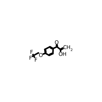 C=C(O)C(=O)c1ccc(OCC(F)(F)F)cc1